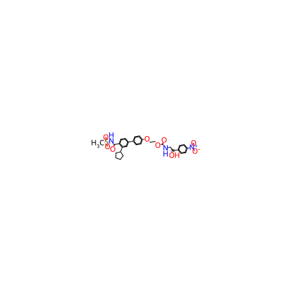 CS(=O)(=O)NC(=O)c1ccc(-c2ccc(OCCOC(=O)NC[C@H](O)c3ccc([N+](=O)[O-])cc3)cc2)cc1C1CCCC1